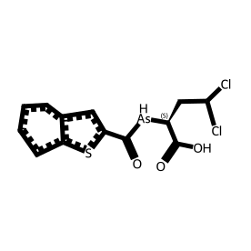 O=C([AsH][C@@H](CC(Cl)Cl)C(=O)O)c1cc2ccccc2s1